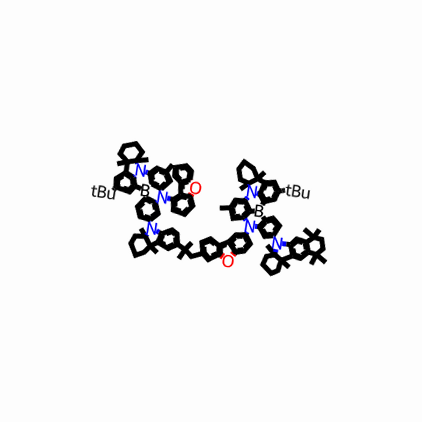 Cc1cc2c3c(c1)N1c4c(cc(C(C)(C)C)cc4C4(C)CCCCC14C)B3c1ccc(N3c4cc5c(cc4C4(C)CCCCC34C)C(C)(C)CCC5(C)C)cc1N2c1ccc2oc3cc(CC(C)(C)c4ccc5c(c4)C4(C)CCCCC4(C)N5c4ccc5c(c4)N(c4cccc6oc7ccccc7c46)c4cc(C)cc6c4B5c4cc(C(C)(C)C)cc5c4N6C4(C)CCCCC54C)ccc3c2c1